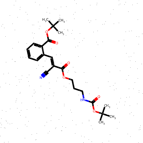 CC(C)(C)OC(=O)NCCCOC(=O)/C(C#N)=C/c1ccccc1C(=O)OC(C)(C)C